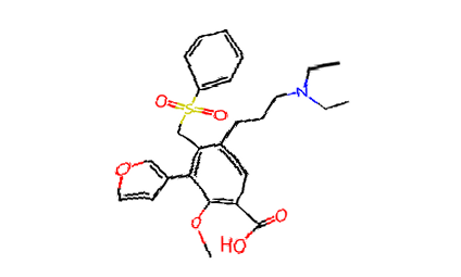 CCN(CC)CCCc1cc(C(=O)O)c(OC)c(-c2ccoc2)c1CS(=O)(=O)c1ccccc1